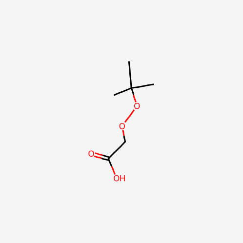 CC(C)(C)OOCC(=O)O